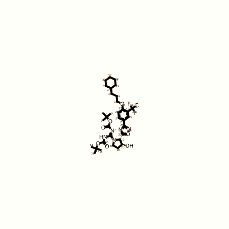 CC(C)(C)OC(=O)/N=C(\NC(=O)OC(C)(C)C)N1CC[C@H](O)[C@H]1c1nc(-c2ccc(OCCCC3CCCCC3)c(C(F)(F)F)c2)no1